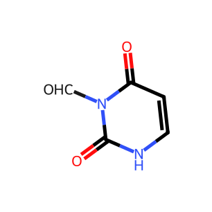 O=Cn1c(=O)cc[nH]c1=O